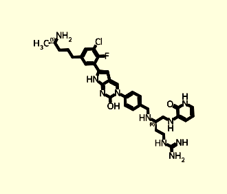 C[C@H](N)CCCc1cc(Cl)c(F)c(-c2cc3c([nH]2)=NC(O)N(c2ccc(CN[C@H](CCNC(=N)N)CNc4ccc[nH]c4=O)cc2)C=3)c1